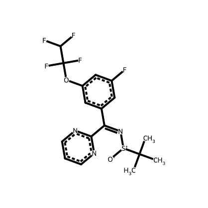 CC(C)(C)[S+]([O-])N=C(c1cc(F)cc(OC(F)(F)C(F)F)c1)c1ncccn1